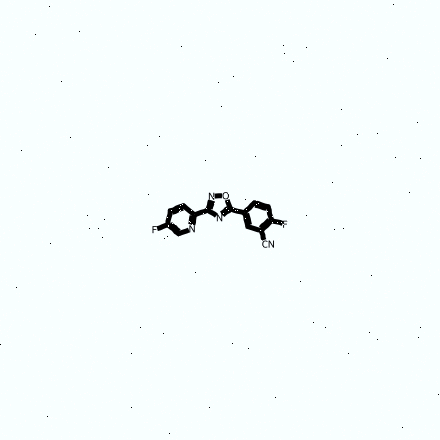 N#Cc1cc(-c2nc(-c3ccc(F)cn3)no2)ccc1F